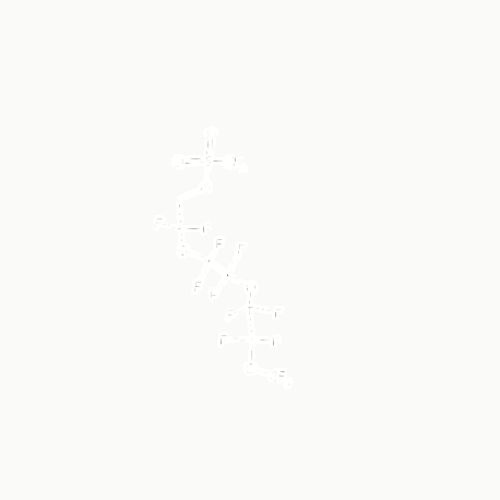 O=S(=O)(OCC(F)(F)OC(F)(F)C(F)(F)OC(F)(F)C(F)(F)OC(F)(F)F)C(F)(F)F